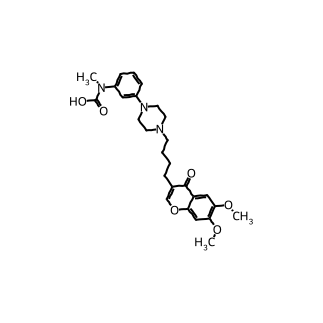 COc1cc2occ(CCCCN3CCN(c4cccc(N(C)C(=O)O)c4)CC3)c(=O)c2cc1OC